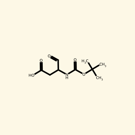 CC(C)(C)OC(=O)NC(C=O)CC(=O)O